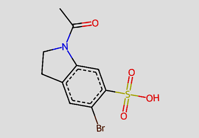 CC(=O)N1CCc2cc(Br)c(S(=O)(=O)O)cc21